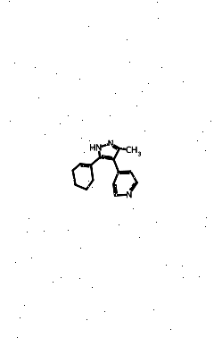 Cc1n[nH]c(C2=CCCCC2)c1-c1ccncc1